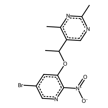 Cc1ncc(C(C)Oc2cc(Br)cnc2[N+](=O)[O-])c(C)n1